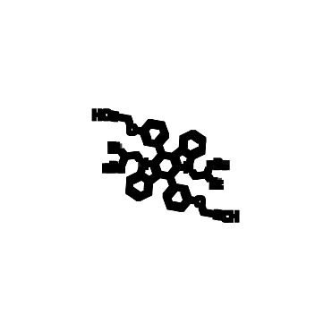 C#CCOc1cccc(C2c3c(n(CC(CC)CCCC)c4ccccc34)C(c3cccc(OCC#C)c3)c3c2n(CC(CC)CCCC)c2ccccc32)c1